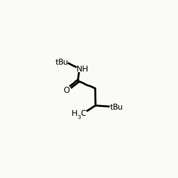 CC(CC(=O)NC(C)(C)C)C(C)(C)C